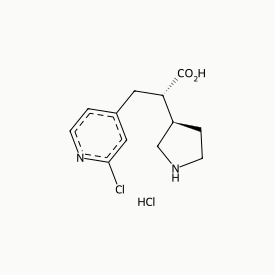 Cl.O=C(O)[C@@H](Cc1ccnc(Cl)c1)[C@H]1CCNC1